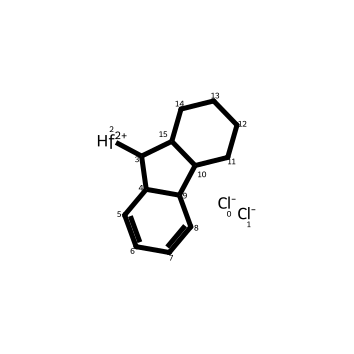 [Cl-].[Cl-].[Hf+2][CH]1C2C=CC=CC2C2CCCCC12